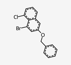 Clc1cccc2cc(OCc3ccccc3)cc(Br)c12